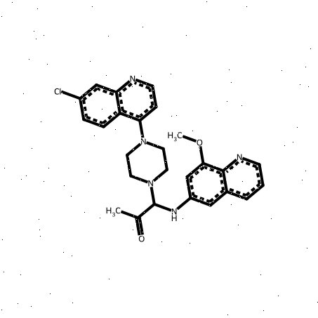 COc1cc(NC(C(C)=O)N2CCN(c3ccnc4cc(Cl)ccc34)CC2)cc2cccnc12